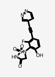 O=C1CN(c2c(O)ccc(C#Cc3ccnnc3)c2F)S(=O)(=O)N1